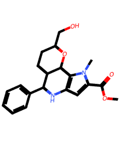 COC(=O)c1cc2c(n1C)C1OC(CO)CCC1C(c1ccccc1)N2